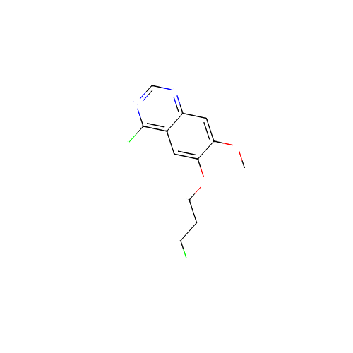 COc1cc2ncnc(Cl)c2cc1OCCCCl.Cl